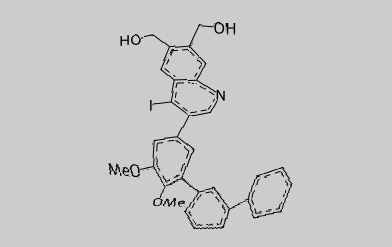 COc1cc(-c2cnc3cc(CO)c(CO)cc3c2I)cc(-c2cccc(-c3ccccc3)c2)c1OC